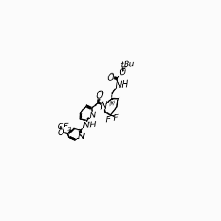 CC(C)(C)OC(=O)NC[C@H]1CCC(F)(F)CN1C(=O)c1cccc(Nc2cc(OC(F)(F)F)ccn2)n1